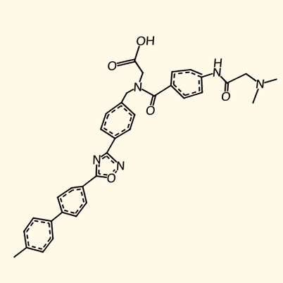 Cc1ccc(-c2ccc(-c3nc(-c4ccc(CN(CC(=O)O)C(=O)c5ccc(NC(=O)CN(C)C)cc5)cc4)no3)cc2)cc1